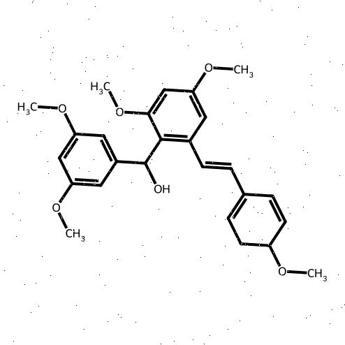 COc1cc(OC)cc(C(O)c2c(/C=C/C3=CCC(OC)C=C3)cc(OC)cc2OC)c1